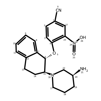 N#Cc1ccc(O[C@H]2c3ccccc3CC[C@@H]2N2CCC[C@H](N)C2)c([N+](=O)O)c1